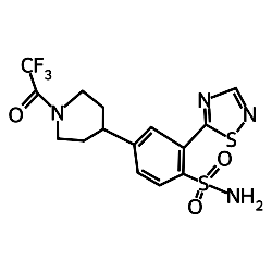 NS(=O)(=O)c1ccc(C2CCN(C(=O)C(F)(F)F)CC2)cc1-c1ncns1